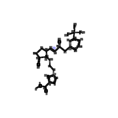 COC(=O)c1ccc(CCCN2C(=O)CCC2/C=C/C(=O)Cc2cccc(C(F)(F)F)c2)s1